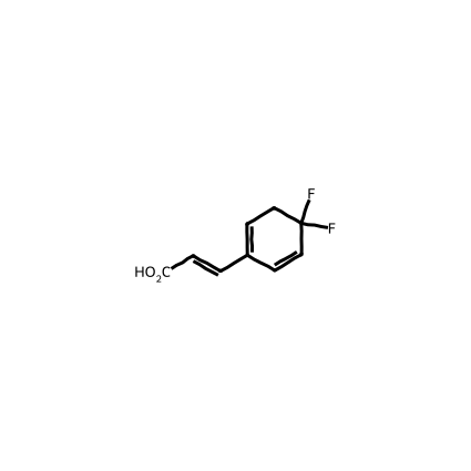 O=C(O)C=CC1=CCC(F)(F)C=C1